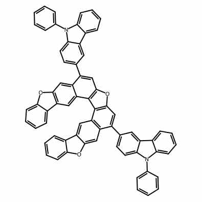 c1ccc(-n2c3ccccc3c3cc(-c4cc5oc6cc(-c7ccc8c(c7)c7ccccc7n8-c7ccccc7)c7cc8oc9ccccc9c8cc7c6c5c5cc6c(cc45)oc4ccccc46)ccc32)cc1